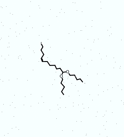 CCCCCOC(CCCCC/C=C\CCCI)OCCCCC